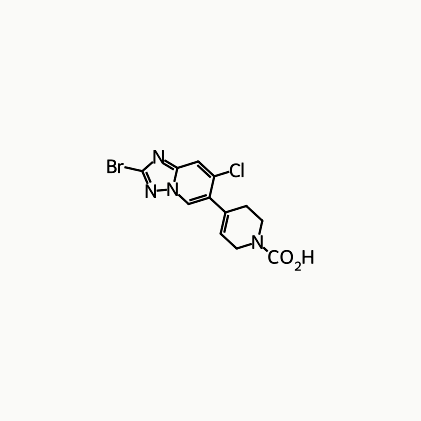 O=C(O)N1CC=C(c2cn3nc(Br)nc3cc2Cl)CC1